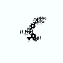 CC[C@@H](C)[C@H](NC(=O)c1ccc(-c2nc(Nc3ccc4[nH]ncc4c3C3CC3)n(C)n2)cc1)C(=O)OC